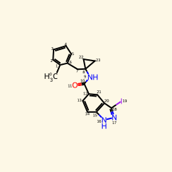 Cc1ccccc1CC1(NC(=O)c2ccc3[nH]nc(I)c3c2)CC1